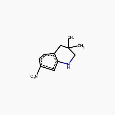 CC1(C)CNc2cc([N+](=O)[O-])ccc2C1